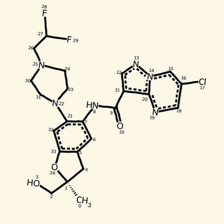 C[C@@]1(CO)Cc2cc(NC(=O)c3cnn4cc(Cl)cnc34)c(N3CCN(CC(F)F)CC3)cc2O1